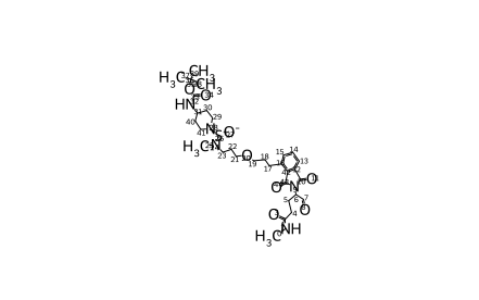 CNC(=O)CCC(C=O)N1C(=O)c2cccc(CCCOCCCN(C)[S+]([O-])N3CCC(NC(=O)OC(C)(C)C)CC3)c2C1=O